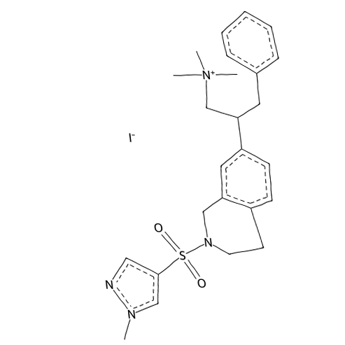 Cn1cc(S(=O)(=O)N2CCc3ccc(C(Cc4ccccc4)C[N+](C)(C)C)cc3C2)cn1.[I-]